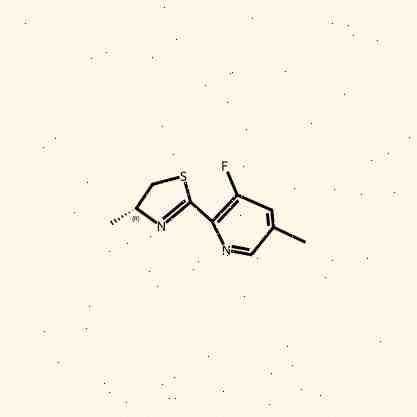 Cc1cnc(C2=N[C@H](C)CS2)c(F)c1